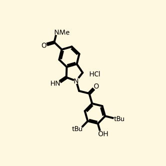 CNC(=O)c1ccc2c(c1)C(=N)N(CC(=O)c1cc(C(C)(C)C)c(O)c(C(C)(C)C)c1)C2.Cl